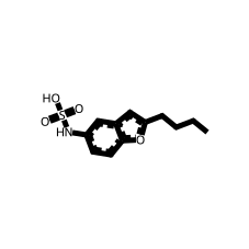 CCCCc1cc2cc(NS(=O)(=O)O)ccc2o1